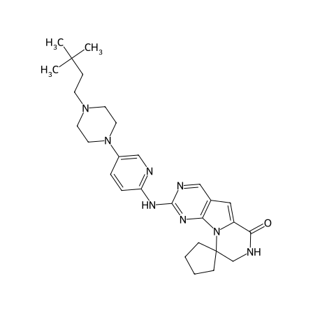 CC(C)(C)CCN1CCN(c2ccc(Nc3ncc4cc5n(c4n3)C3(CCCC3)CNC5=O)nc2)CC1